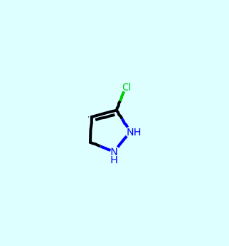 ClC1=[C]CNN1